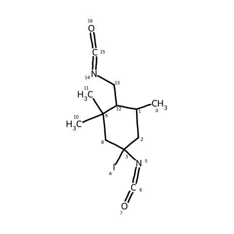 CC1CC(I)(N=C=O)CC(C)(C)C1CN=C=O